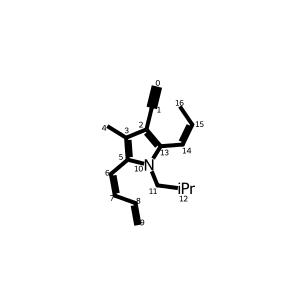 C#Cc1c(C)c(/C=C\C=C)n(CC(C)C)c1/C=C\C